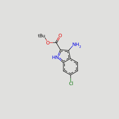 CC(C)(C)OC(=O)c1[nH]c2cc(Cl)ccc2c1N